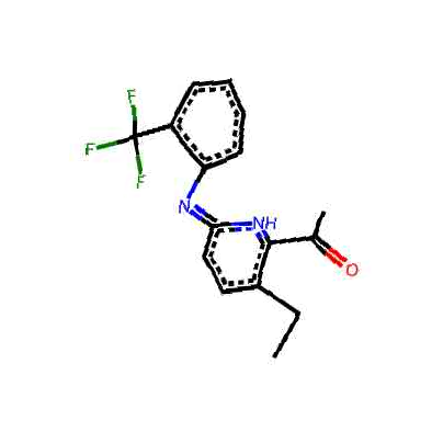 CCc1ccc(=Nc2ccccc2C(F)(F)F)[nH]c1C(C)=O